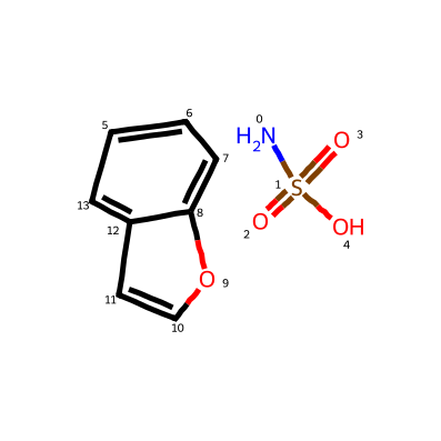 NS(=O)(=O)O.c1ccc2occc2c1